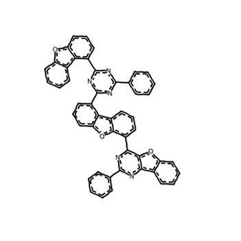 c1ccc(-c2nc(-c3cccc4oc5ccccc5c34)nc(-c3cccc4oc5c(-c6nc(-c7ccccc7)nc7c6oc6ccccc67)cccc5c34)n2)cc1